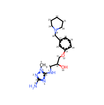 Cn1nc(N)nc1NCC(O)COc1cccc(CN2CCCCC2)c1